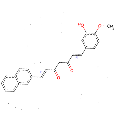 COc1ccc(/C=C/C(=O)CC(=O)/C=C/c2ccc3ccccc3c2)cc1O